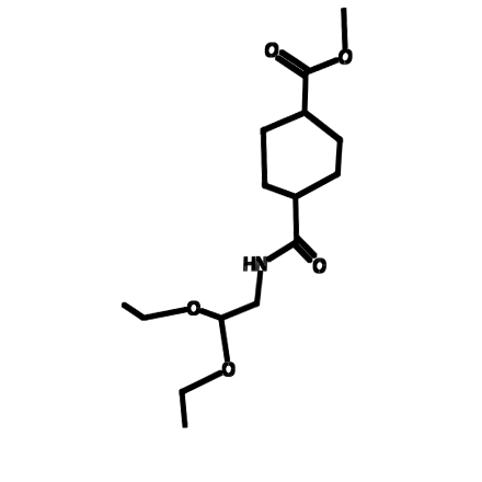 CCOC(CNC(=O)C1CCC(C(=O)OC)CC1)OCC